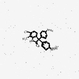 CC(=O)Nc1ccc(C2(c3ccc(NC(C)=O)cc3)C(=O)Nc3c2ccc(Cl)c3C)cc1